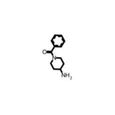 NC1CCN(C(=O)c2ccccc2)CC1